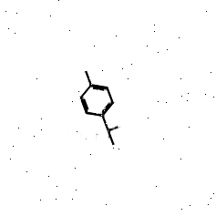 CC(=O)N[C@@](C)(C(=O)O)c1ccc(C)cc1